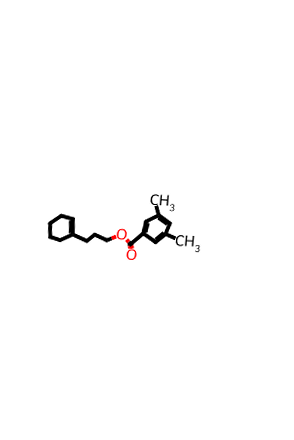 Cc1cc(C)cc(C(=O)OCCCC2=CCCCC2)c1